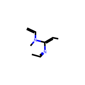 C=CN(C)C(=C/C)/N=C\C